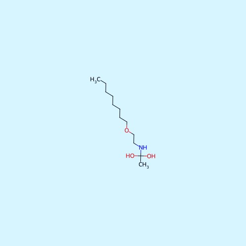 CCCCCCCCOCCNC(C)(O)O